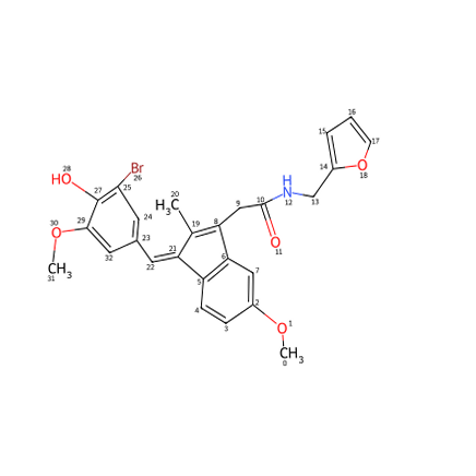 COc1ccc2c(c1)C(CC(=O)NCc1ccco1)=C(C)C2=Cc1cc(Br)c(O)c(OC)c1